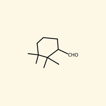 CC1(C)CCCC(C=O)C1(C)C